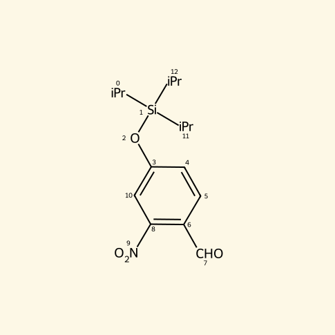 CC(C)[Si](Oc1ccc(C=O)c([N+](=O)[O-])c1)(C(C)C)C(C)C